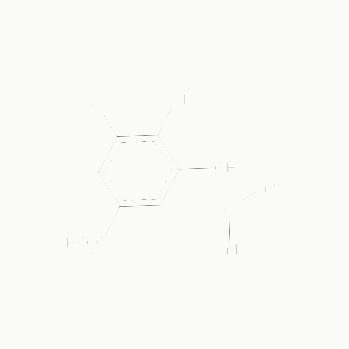 CCCOCCC.O=C(O)c1cc(O)c(O)c(O)c1